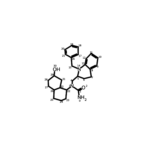 NC(=O)N(CC1CCc2ccccc2N1Cc1ccccc1)C1CCCC2CCC(O)CC21